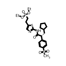 CCOP(=O)(CCc1cnc(NC(=O)[C@H](CC2CCCC2)c2ccc(S(C)(=O)=O)cc2)s1)OCC